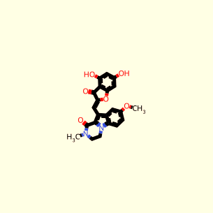 COc1ccc2c(c1)c(C=C1Oc3cc(O)cc(O)c3C1=O)c1n2CCN(C)C1=O